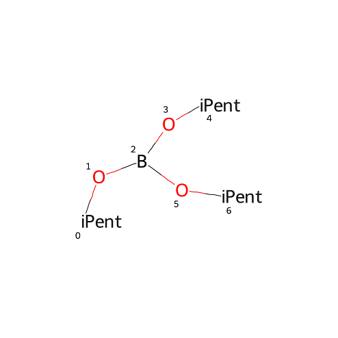 CCCC(C)OB(OC(C)CCC)OC(C)CCC